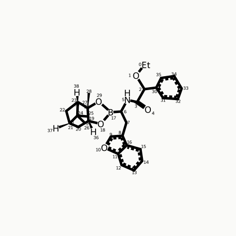 CCOC(C(=O)NC(Cc1coc2ccccc12)B1O[C@@H]2C[C@@H]3C[C@@H](C3(C)C)[C@]2(C)O1)c1ccccc1